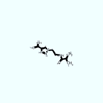 C=C(C)C(=O)NCCn1cc(C(=O)O)nn1